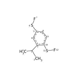 CC(C)c1cc(SF)ccc1SF